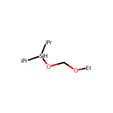 CCOCO[SiH](C(C)C)C(C)C